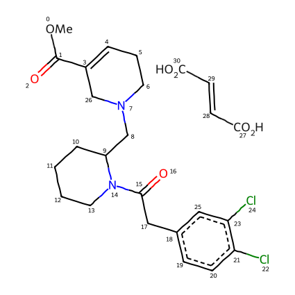 COC(=O)C1=CCCN(CC2CCCCN2C(=O)Cc2ccc(Cl)c(Cl)c2)C1.O=C(O)C=CC(=O)O